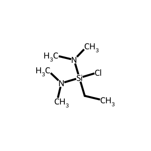 CC[Si](Cl)(N(C)C)N(C)C